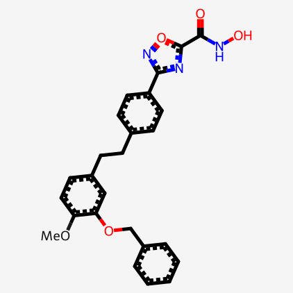 COc1ccc(CCc2ccc(-c3noc(C(=O)NO)n3)cc2)cc1OCc1ccccc1